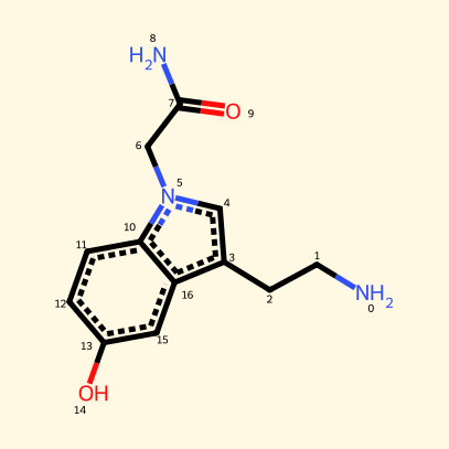 NCCc1cn(CC(N)=O)c2ccc(O)cc12